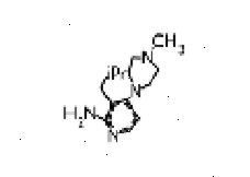 CC(C)Cc1c(N2CCN(C)CC2)ccnc1N